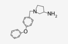 NC1CCN(Cc2ccc(Oc3ccccc3)cc2)C1